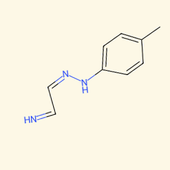 Cc1ccc(N/N=C\C=N)cc1